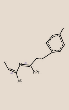 C/C=C(CC)\N=C(/CCC)CCc1ccc(C)cc1